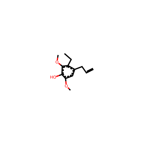 C=CCc1cc(OC)c(O)c(OC)c1CC